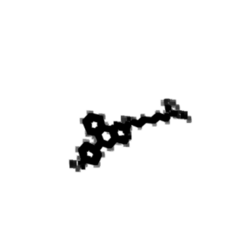 CN(C)CCCCCNc1ncc2c(n1)-c1ccccc1C(c1ccc(N)cc1)C2